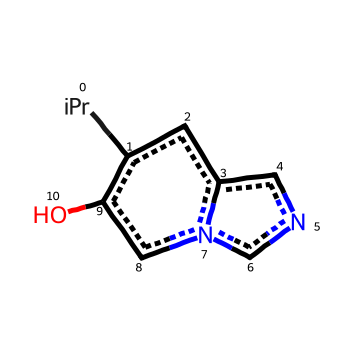 CC(C)c1cc2cncn2cc1O